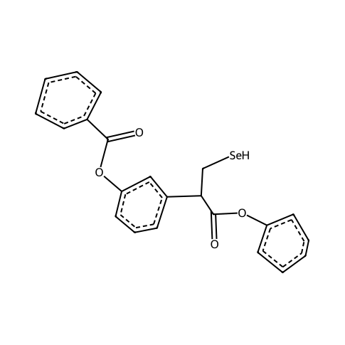 O=C(Oc1cccc(C(C[SeH])C(=O)Oc2ccccc2)c1)c1ccccc1